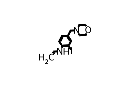 C=CNc1ccc(CN2CCOCC2)cc1I